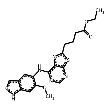 CCOC(=O)CCCc1nc2c(Nc3cc4cn[nH]c4cc3OC)ncnc2s1